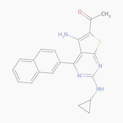 CC(=O)c1sc2nc(NC3CC3)nc(-c3ccc4ccccc4c3)c2c1N